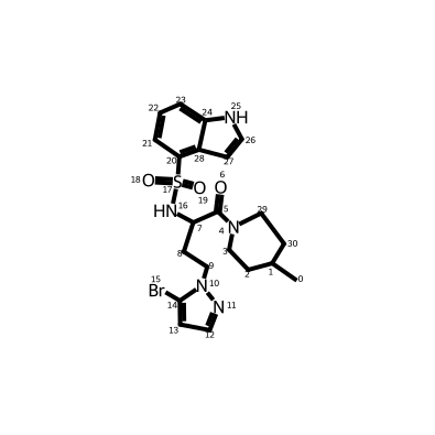 CC1CCN(C(=O)C(CCn2nccc2Br)NS(=O)(=O)c2cccc3[nH]ccc23)CC1